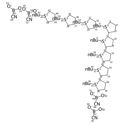 CCCC[S+]1CCCC1.CCCC[S+]1CCCC1.CCCC[S+]1CCCC1.CCCC[S+]1CCCC1.CCCC[S+]1CCCC1.CCCC[S+]1CCCC1.CCCC[S+]1CCCC1.CCCC[S+]1CCCC1.N#CB([O-])[O-].N#CB([O-])[O-].N#CB([O-])[O-].N#CB([O-])[O-]